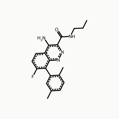 CCCNC(=O)c1nnc2c(-c3cc(C)ccc3C)c(F)ccc2c1N